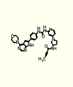 CC#CC(=O)NC1CCN(c2ccnc(NC(=O)Nc3ccc(-c4cc5c(N6CCOCC6)ncnc5[nH]4)cc3)c2)C1